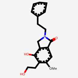 COc1cc2c(c(O)c1CCO)CN(CCc1ccccc1)C2=O